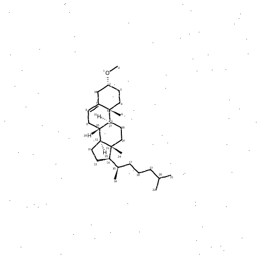 CO[C@@H]1CC[C@@]2(C)C(=CC[C@H]3[C@@H]4CC[C@H]([C@H](C)CCCC(C)C)[C@@]4(C)CC[Si@@H]32)C1